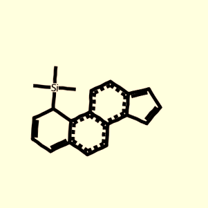 C[Si](C)(C)C1C=CC=c2ccc3c4c(ccc3c21)=CC=C4